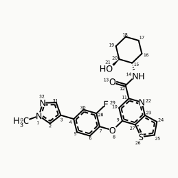 Cn1cc(-c2ccc(Oc3cc(C(=O)N[C@H]4CCCC[C@@H]4O)nc4ccsc34)c(F)c2)cn1